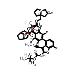 COc1c(Cl)c(-c2ccc(F)c3sc(NC(=O)OC(C)(C)C)c(C#N)c23)c(F)c2nc(OC[C@@]34CCCN3C[C@H](F)C4)nc(N3CC4CCC(C3)N4C(=O)OC(C)(C)C)c12